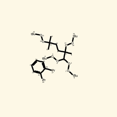 CC(C)(C)OOC(OOC(C)(C)C)C(C)(CCC(C)(C)OOC(C)(C)C)OOC(C)(C)C.CC(C)c1ccccc1C(C)C